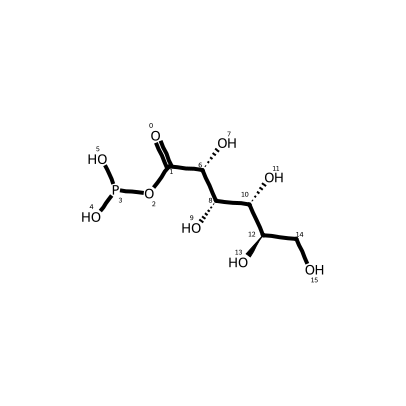 O=C(OP(O)O)[C@H](O)[C@@H](O)[C@H](O)[C@H](O)CO